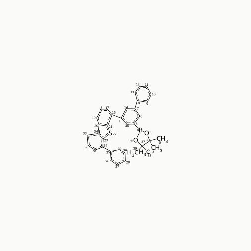 CC1(C)OB(c2cc(-c3ccccc3)cc(-c3cccc4c3sc3c(-c5ccccc5)cccc34)c2)OC1(C)C